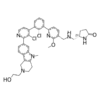 COc1nc(-c2cccc(-c3ccnc(-c4ccc5c6c(n(C)c5c4)CCN(CCO)C6)c3Cl)c2Cl)ccc1CNC[C@@H]1CCC(=O)N1